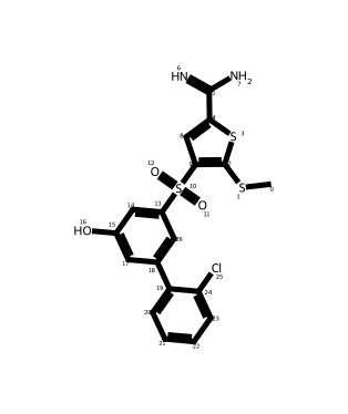 CSc1sc(C(=N)N)cc1S(=O)(=O)c1cc(O)cc(-c2ccccc2Cl)c1